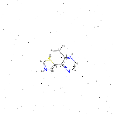 CC(C)c1nccnc1-c1cncs1